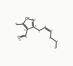 CCC/C=C\Cc1noc(C)c1C=O